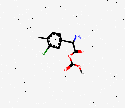 Cc1ccc(C(N)C(=O)OC(=O)OC(C)(C)C)cc1Cl